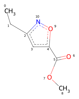 CCc1cc(C(=O)OC)on1